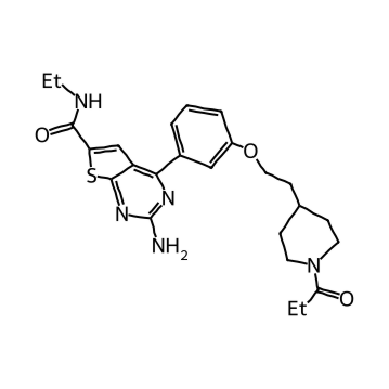 [CH2]CC(=O)N1CCC(CCOc2cccc(-c3nc(N)nc4sc(C(=O)NCC)cc34)c2)CC1